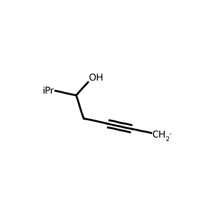 [CH2]C#CCC(O)C(C)C